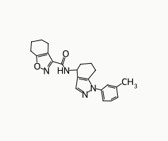 Cc1cccc(-n2ncc3c2CCCC3NC(=O)c2noc3c2CCCC3)c1